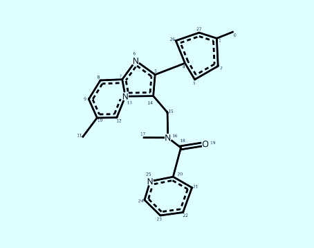 Cc1ccc(-c2nc3ccc(C)cn3c2CN(C)C(=O)c2ccccn2)cc1